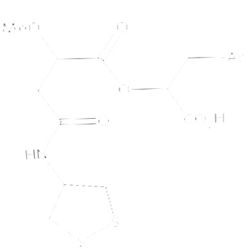 COC(CC(=O)NC1CSSC1)C(=O)OC(CC(C)=O)C(=O)O